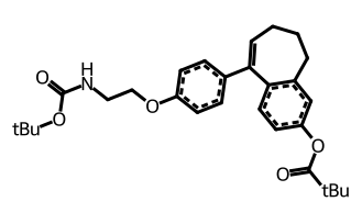 CC(C)(C)OC(=O)NCCOc1ccc(C2=CCCCc3cc(OC(=O)C(C)(C)C)ccc32)cc1